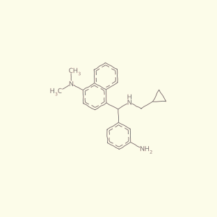 CN(C)c1ccc(C(NCC2CC2)c2cccc(N)c2)c2ccccc12